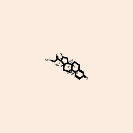 CC(=O)OCC(=O)[C@@]1(O)[C@@H](C)C[C@H]2[C@@H]3CCC4=CC(=O)C=C[C@]4(C)[C@@]34O[C@H]4C[C@@]21C